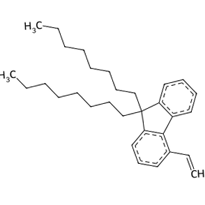 C=Cc1cccc2c1-c1ccccc1C2(CCCCCCCC)CCCCCCCC